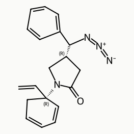 C=C[C@@]1(N2C[C@H](C(N=[N+]=[N-])c3ccccc3)CC2=O)C=CC=CC1